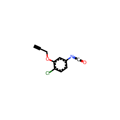 C#CCOc1cc(N=C=O)ccc1Cl